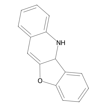 C1=C2Oc3ccccc3C2Nc2ccccc21